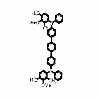 COc1c(C)ccc(N(c2ccccc2)c2ccc(-c3ccc(-c4ccc(N(c5ccccc5)c5ccc(C)c(OC)c5C)cc4)cc3)cc2)c1C